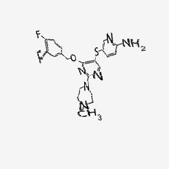 CN1CCN(c2ncc(Sc3ccc(N)nc3)c(OCc3ccc(F)c(F)c3)n2)CC1